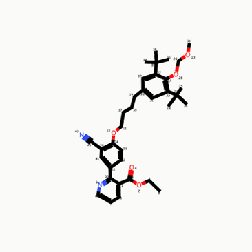 CCOC(=O)c1cccnc1-c1ccc(OCCCCc2cc(C(C)(C)C)c(OCOC)c(C(C)(C)C)c2)c(C#N)c1